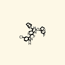 Fc1c(-c2n[nH]c3ccc(Cl)cc23)ncc2c(N3CC4CCC(C3)O4)nc(OC[C@@]34CCCN3C[C@H](F)C4)nc12